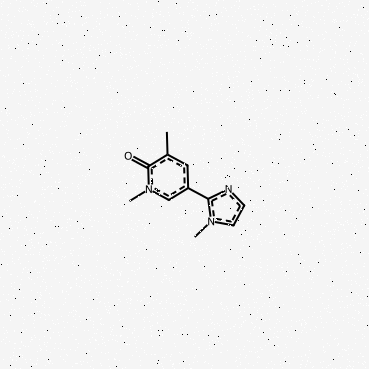 Cc1cc(-c2nccn2C)cn(C)c1=O